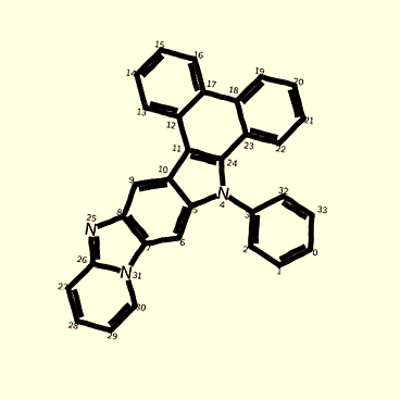 c1ccc(-n2c3cc4c(cc3c3c5ccccc5c5ccccc5c32)nc2ccccn24)cc1